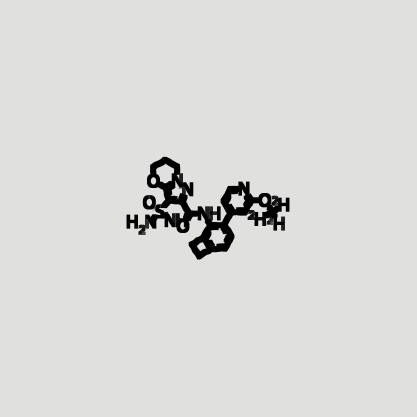 [2H]C([2H])([2H])Oc1cc(-c2ccc3c(c2NC(=O)c2nn4c(c2S(=N)(N)=O)OCCC4)CC3)ccn1